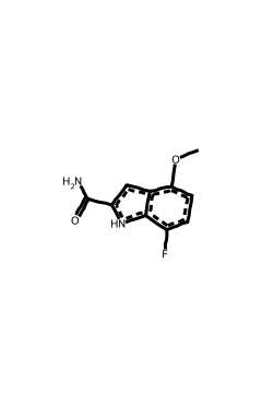 COc1ccc(F)c2[nH]c(C(N)=O)cc12